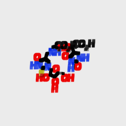 O=C(O)C(O)c1c[nH]c(=O)[nH]c1=O.O=C(O)CNCc1cn([C@@H]2O[C@H](CO)[C@@H](O)[C@H]2O)c(=S)[nH]c1=O